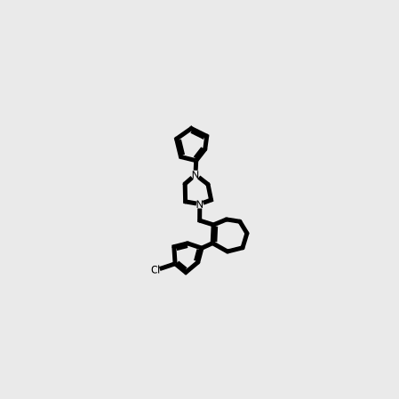 Clc1ccc(C2=C(CN3CCN(c4cc[c]cc4)CC3)CCCCC2)cc1